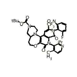 Cc1ccnc(C(C)C)c1-n1c(=O)c2c(c3cc(C(F)(F)F)n(-c4c(F)cccc4[N+](=O)[O-])c(=O)c31)N1CCN(C(=O)OC(C)(C)C)CC1CCO2